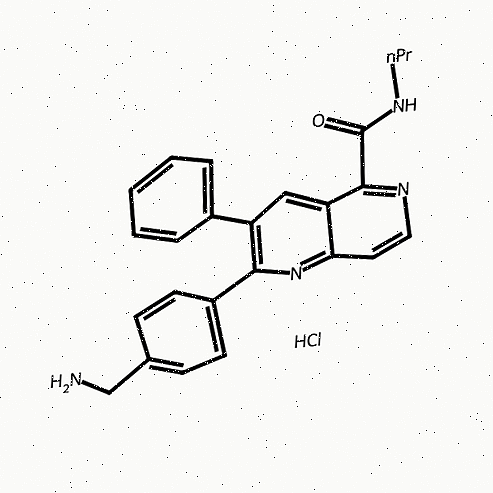 CCCNC(=O)c1nccc2nc(-c3ccc(CN)cc3)c(-c3ccccc3)cc12.Cl